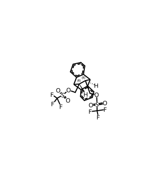 O=S(=O)(OC[C@@H]1C2c3ccccc3C(c3ccccc32)[C@H]1COS(=O)(=O)C(F)(F)F)C(F)(F)F